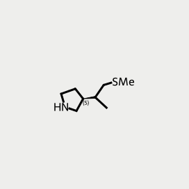 CSCC(C)[C@@H]1CCNC1